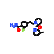 Cc1cccnc1OC1(C)CCCCN1CCc1ccc(C(N)=O)c(F)c1